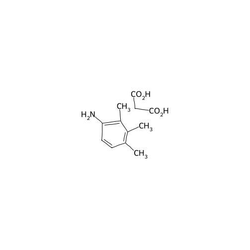 Cc1ccc(N)c(C)c1C.O=C(O)CC(=O)O